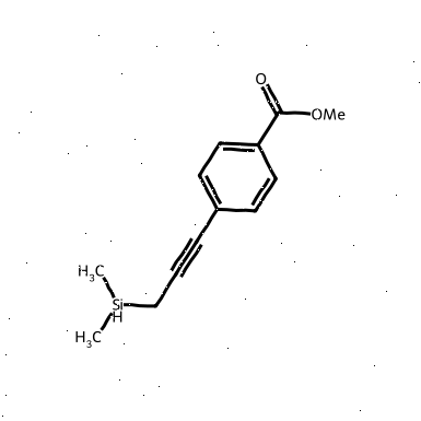 COC(=O)c1ccc(C#CC[SiH](C)C)cc1